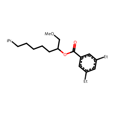 CCc1cc(CC)cc(C(=O)OC(CCCCCC(C)C)COC)c1